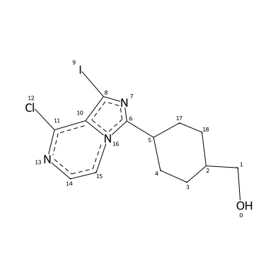 OCC1CCC(c2nc(I)c3c(Cl)nccn23)CC1